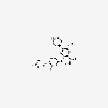 CCc1nc(C(N)=O)c(Nc2cnc(N3CCN(C)CC3)c(C)c2)nc1N1CCNCC1